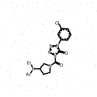 CCN(C(C)=O)C1CCN(C(=O)n2nnn(-c3cccc(Cl)c3)c2=O)C1